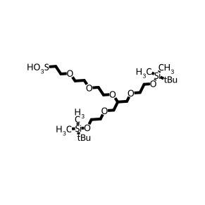 CC(C)(C)[Si](C)(C)OCCOCC(COCCO[Si](C)(C)C(C)(C)C)OCCOCCOCCS(=O)(=O)O